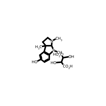 CN1CCC2(C)c3cc(O)ccc3N(C)C12.O=C(O)C(O)C(O)C(=O)O